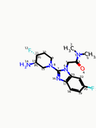 CN(C)C(=O)Cn1c(N2CC[C@@H](F)[C@H](N)C2)nc2ccc(F)cc21